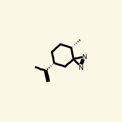 C=C(C)[C@@H]1CC[C@H](C)C2(C1)N=N2